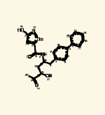 O=C(NC(Cc1ccc(-c2ccccc2)cc1)CC(O)C(=O)I)c1cc(O)no1